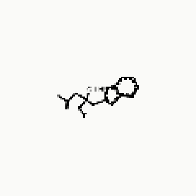 CC(C)CC(O)(CF)Cc1cc2ccccc2[nH]1